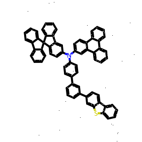 c1cc(-c2ccc(N(c3ccc4c(c3)-c3ccccc3C43c4ccccc4-c4ccccc43)c3ccc4c5ccccc5c5ccccc5c4c3)cc2)cc(-c2ccc3c(c2)sc2ccccc23)c1